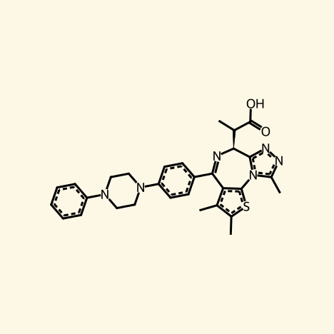 Cc1sc2c(c1C)C(c1ccc(N3CCN(c4ccccc4)CC3)cc1)=N[C@@H](C(C)C(=O)O)c1nnc(C)n1-2